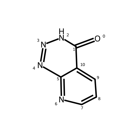 O=c1[nH]nnc2ncccc12